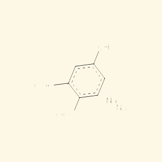 Cc1ccc(C(=O)[O-])c(C(=O)[O-])c1.[Na+].[Na+]